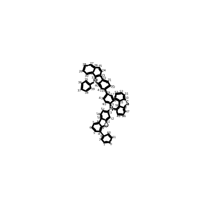 c1ccc(-c2cccc3c2oc2cc(N(c4ccc(-c5ccc6c7ccc8ccccc8c7n(-c7ccccc7)c6c5)cc4)c4cccc5sc6ccccc6c45)ccc23)cc1